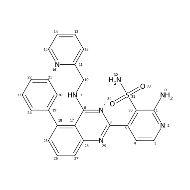 Nc1nccc(-c2nc(NCc3ccccn3)c3c(-c4ccccc4)cccc3n2)c1S(N)(=O)=O